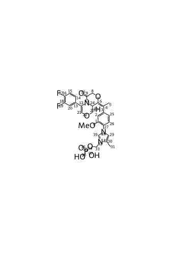 COc1cc(C(C)=C2OCC(=O)N3C(c4ccc(F)c(F)c4)=COC[C@H]23)ccc1-n1cc(C)[n+](COP(=O)(O)O)c1